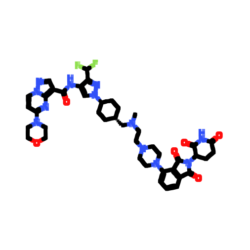 CN(CCN1CCN(c2cccc3c2C(=O)N(C2CCC(=O)NC2=O)C3=O)CC1)C[C@H]1CC[C@H](n2cc(NC(=O)c3cnn4ccc(N5CCOCC5)nc34)c(C(F)F)n2)CC1